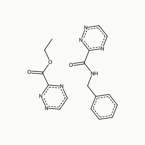 CCOC(=O)c1nccnn1.O=C(NCc1ccccc1)c1nccnn1